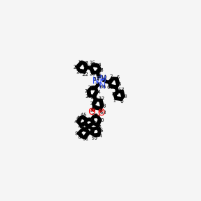 c1ccc(-c2cccc(-c3nc(-c4cccc(-c5ccccc5)c4)nc(-c4cccc(-c5ccc6c(c5)Oc5c(ccc7c5-c5ccccc5C7(c5ccccc5)c5ccccc5)O6)c4)n3)c2)cc1